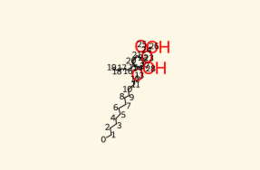 CCCCCCCCCCCCCOc1c(CCCC)ccc(OC(=O)O)c1O